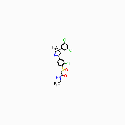 O=C(C[S+]([O-])c1ccc(C2=NCC(c3cc(Cl)cc(Cl)c3)(C(F)(F)F)C2)cc1Cl)NCC(F)(F)F